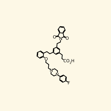 O=C(O)CCc1cc(CCc2ccccc2OCCCN2CCN(c3ccc(F)cc3)CC2)cc(CCN2C(=O)c3ccccc3C2=O)c1